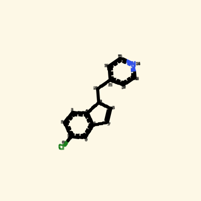 Clc1ccc2c(c1)C=CC2Cc1ccncc1